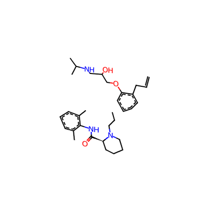 C=CCc1ccccc1OCC(O)CNC(C)C.CCCN1CCCC[C@H]1C(=O)Nc1c(C)cccc1C